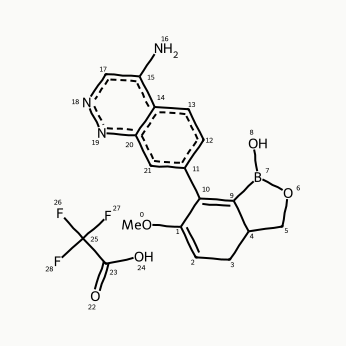 COC1=CCC2COB(O)C2=C1c1ccc2c(N)cnnc2c1.O=C(O)C(F)(F)F